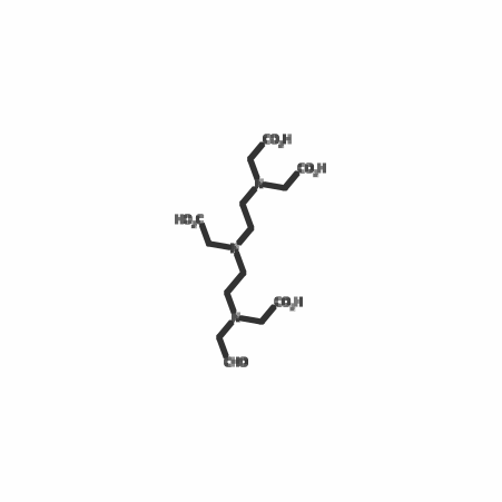 O=CCN(CCN(CCN(CC(=O)O)CC(=O)O)CC(=O)O)CC(=O)O